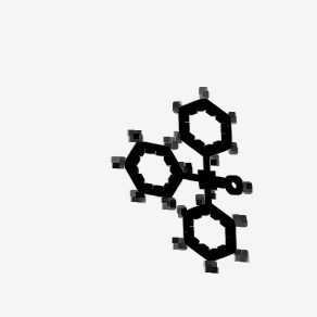 [O]=[Bi]([c]1ccccc1)([c]1ccccc1)[c]1ccccc1